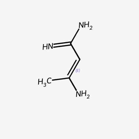 C/C(N)=C\C(=N)N